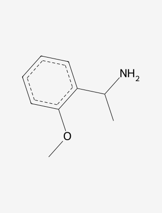 COc1ccccc1C(C)N